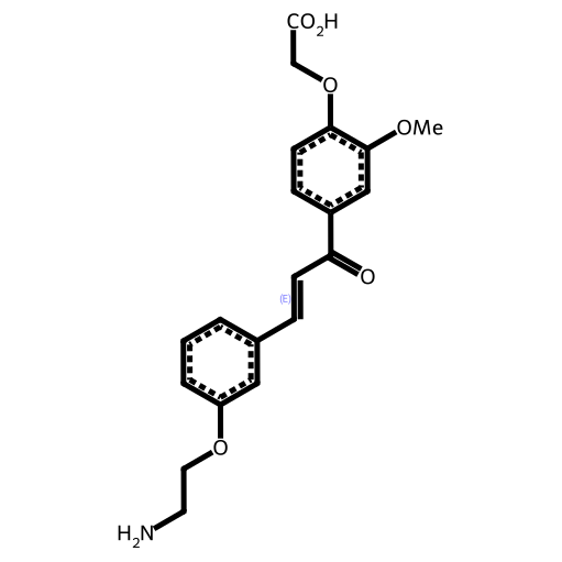 COc1cc(C(=O)/C=C/c2cccc(OCCN)c2)ccc1OCC(=O)O